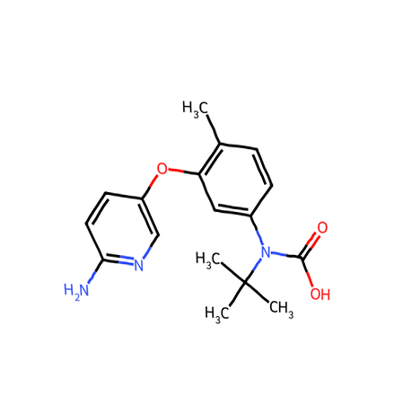 Cc1ccc(N(C(=O)O)C(C)(C)C)cc1Oc1ccc(N)nc1